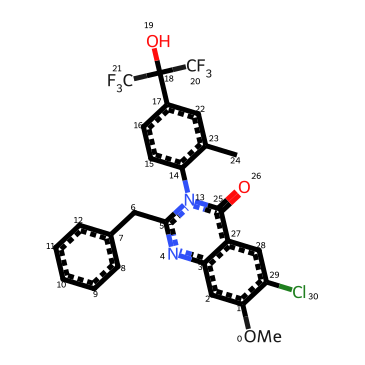 COc1cc2nc(Cc3ccccc3)n(-c3ccc(C(O)(C(F)(F)F)C(F)(F)F)cc3C)c(=O)c2cc1Cl